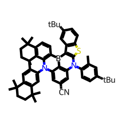 Cc1cc(C(C)(C)C)ccc1N1c2cc(C#N)cc3c2B(c2ccc4c5c2N3c2cc3c(cc2C5(C)CCC4(C)C)C(C)(C)CCC3(C)C)c2c1sc1ccc(C(C)(C)C)cc21